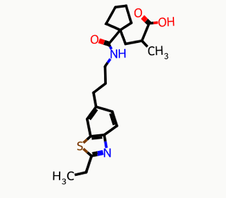 CCc1nc2ccc(CCCNC(=O)C3(CC(C)C(=O)O)CCCC3)cc2s1